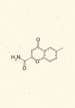 Cc1ccc2oc(C(N)=O)cc(=O)c2c1